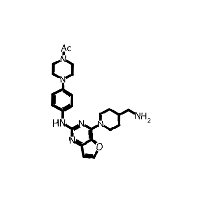 CC(=O)N1CCN(c2ccc(Nc3nc(N4CCC(CN)CC4)c4occc4n3)cc2)CC1